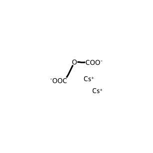 O=C([O-])OC(=O)[O-].[Cs+].[Cs+]